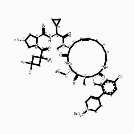 CCOC(=O)N1CC=C(c2ccc(Cl)cc2C[C@H]2C(=O)NCCCCC=CC[C@H](N(C)C(=O)[C@@H](NC(=O)[C@@H]3C[C@@H](F)CN3C(=O)C3(C(F)(F)F)CC(F)(F)C3)C3CC3)C(=O)N[C@@H](CC(C)C)C(=O)N2C)CC1